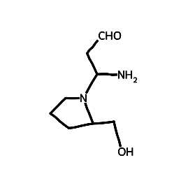 NC(CC=O)N1CCCC1CO